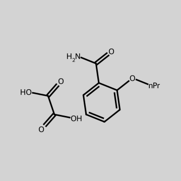 CCCOc1ccccc1C(N)=O.O=C(O)C(=O)O